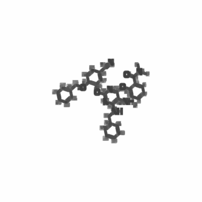 CN(C)C(=O)c1ccccc1Oc1nc(Oc2cc(C#N)ccc2OCc2ccccc2)nc(NCc2ccccc2)c1N